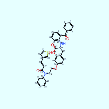 O=C(c1ccccc1)c1ccccc1N[C@@H](Cc1ccc(OCCN(C(=O)C=Cc2ccsc2)c2ccccc2)cc1)C(=O)O